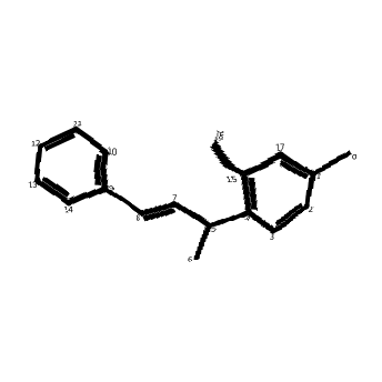 Cc1ccc(C(C)C=Cc2ccccc2)c(C)c1